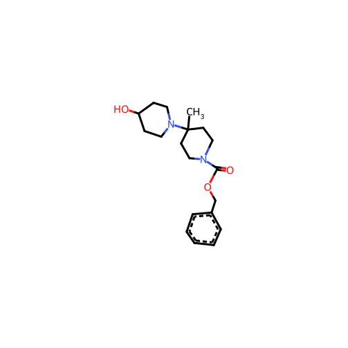 CC1(N2CCC(O)CC2)CCN(C(=O)OCc2ccccc2)CC1